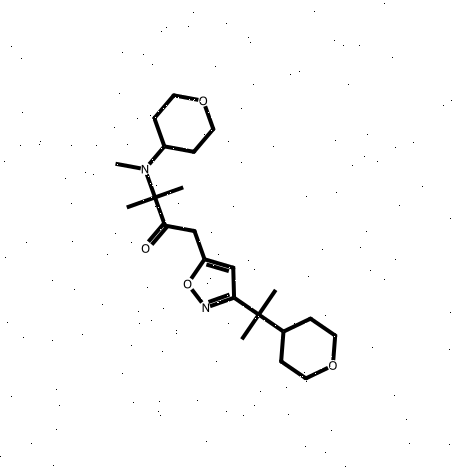 CN(C1CCOCC1)C(C)(C)C(=O)Cc1cc(C(C)(C)C2CCOCC2)no1